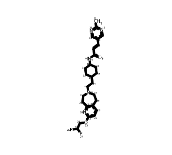 Cc1ncc(/C=C/C(=O)NC2CCC(CCN3CCc4ccc(OCC(F)F)nc4CC3)CC2)cn1